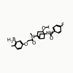 Bc1cc(OCC(=O)N(C)C2=C3CC(NC(=O)c4ccc(F)cc4)(C3)C(OI)C2)ccc1C